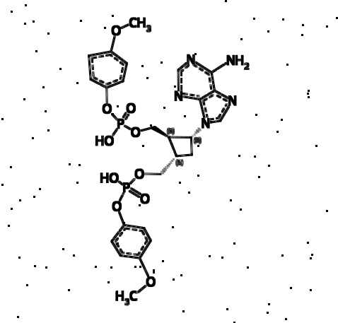 COc1ccc(OP(=O)(O)OC[C@H]2C[C@@H](n3cnc4c(N)ncnc43)[C@@H]2COP(=O)(O)Oc2ccc(OC)cc2)cc1